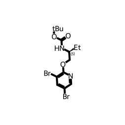 CC[C@@H](COc1ncc(Br)cc1Br)NC(=O)OC(C)(C)C